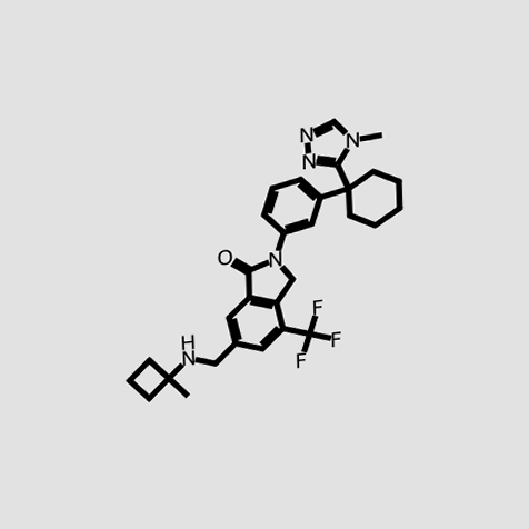 Cn1cnnc1C1(c2cccc(N3Cc4c(cc(CNC5(C)CCC5)cc4C(F)(F)F)C3=O)c2)CCCCC1